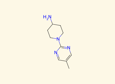 Cc1cnc(N2CCC(N)CC2)nc1